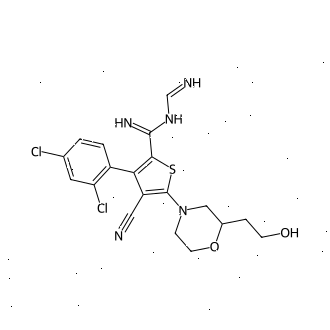 N#Cc1c(N2CCOC(CCO)C2)sc(C(=N)NC=N)c1-c1ccc(Cl)cc1Cl